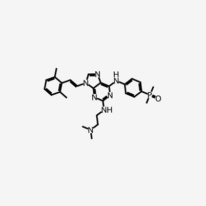 Cc1cccc(C)c1/C=C/n1cnc2c(Nc3ccc(P(C)(C)=O)cc3)nc(NCCN(C)C)nc21